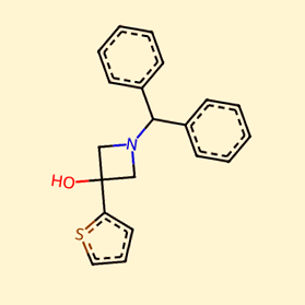 OC1(c2cccs2)CN(C(c2ccccc2)c2ccccc2)C1